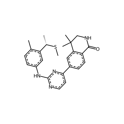 CS[C@@H](C)c1cc(Nc2nccc(-c3ccc4c(c3)C(C)(C)CNC4=O)n2)ccc1C